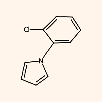 Clc1ccccc1-n1cccc1